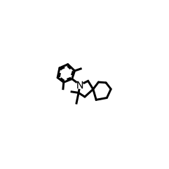 Cc1cccc(C)c1N1CC2(CCCCC2)CC1(C)C